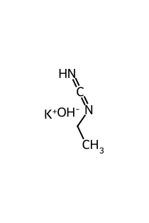 CCN=C=N.[K+].[OH-]